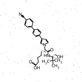 CC(C)(C)[C@@H](CO)NC(=O)[C@H](CCCCC(=O)O)n1ccc(-c2ccc(-c3ccc(C#N)cc3)cc2)c1